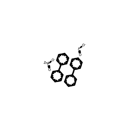 O=P[O-].O=P[O-].[Zn+2].c1ccc(-c2ccccc2)cc1.c1ccc(-c2ccccc2)cc1